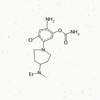 CCN(C)C1CCN(c2cc(OC(N)=O)c(N)cc2Cl)CC1